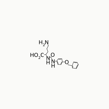 NCCCC(NC(=O)Nc1ccc(OCc2ccccc2)cc1)C(=O)O